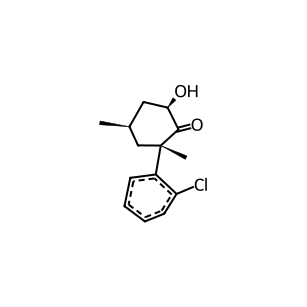 C[C@H]1C[C@@H](O)C(=O)[C@](C)(c2ccccc2Cl)C1